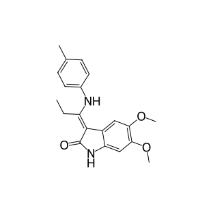 CCC(Nc1ccc(C)cc1)=C1C(=O)Nc2cc(OC)c(OC)cc21